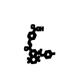 Cc1ccc(CN(C)c2cc(C(=O)C=Cc3ccc(C(=O)O)cc3)cc3c2C(C)(C)CCC3(C)C)cc1